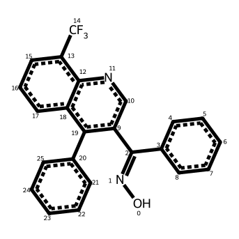 ON=C(c1ccccc1)c1cnc2c(C(F)(F)F)cccc2c1-c1ccccc1